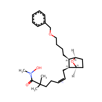 CN(O)C(=O)C(C)(C)CC/C=C\C[C@H]1[C@@H](CCCCOCc2ccccc2)[C@H]2CC[C@@H]1O2